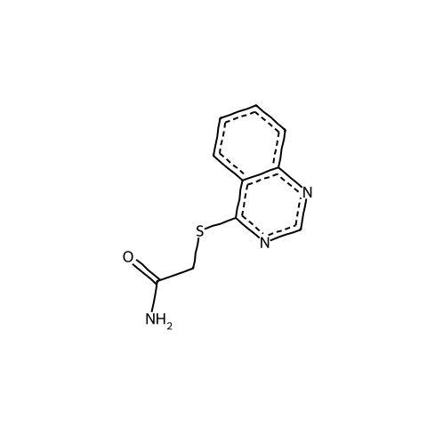 NC(=O)CSc1ncnc2ccccc12